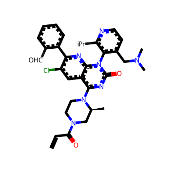 C=CC(=O)N1CCN(c2nc(=O)n(-c3c(CN(C)C)ccnc3C(C)C)c3nc(-c4ccccc4C=O)c(Cl)cc23)[C@@H](C)C1